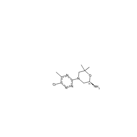 Cc1nc(N2C[C@H](N)OC(C)(C)C2)nnc1Cl